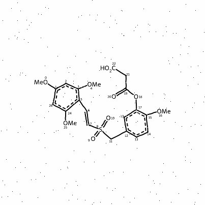 COc1cc(OC)c(C=CS(=O)(=O)Cc2ccc(OC)c(OC(=O)CC(=O)O)c2)c(OC)c1